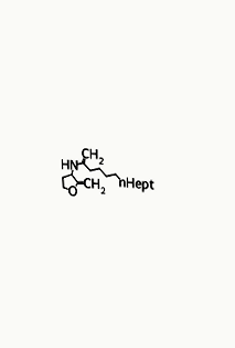 C=C(CCCCCCCCCCC)NC1CCOC1=C